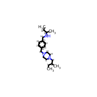 CCC(C)CN1CCN(Cc2ccc(CNC(C)CC)cc2)CC1